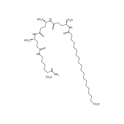 NN[C@@H](CCCCNC(=O)CC[C@H](NC(=O)CC[C@H](NC(=O)CC[C@H](NC(=O)CCCCCCCCCCCCCCCCCCC(=O)O)C(=O)O)C(=O)O)C(=O)O)C(=O)O